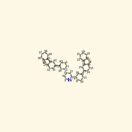 c1cc(-c2ccnc(-c3cccc(-c4ccc5sc6ccccc6c5c4)c3)c2)cc(-c2ccc3sc4ccccc4c3c2)c1